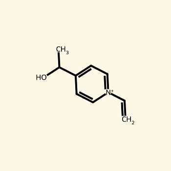 C=C[n+]1ccc(C(C)O)cc1